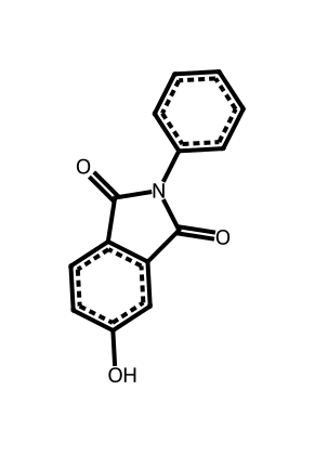 O=C1c2ccc(O)cc2C(=O)N1c1ccccc1